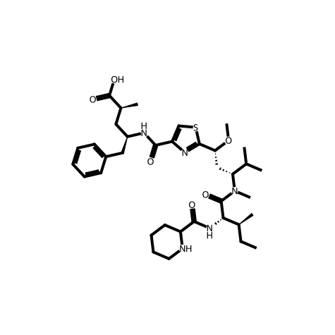 CC[C@H](C)[C@H](NC(=O)C1CCCCN1)C(=O)N(C)[C@H](C[C@@H](OC)c1nc(C(=O)N[C@@H](Cc2ccccc2)C[C@H](C)C(=O)O)cs1)C(C)C